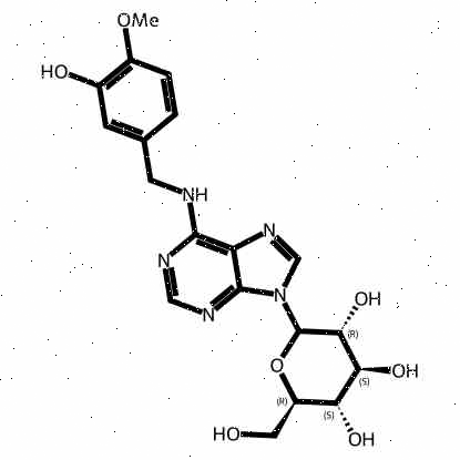 COc1ccc(CNc2ncnc3c2ncn3C2O[C@H](CO)[C@@H](O)[C@H](O)[C@H]2O)cc1O